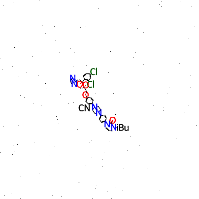 CCC(C)N1CC=CN(c2ccc(N3CCN(c4ccc(OCC5COC(CC6N=CC=N6)(c6ccc(Cl)cc6Cl)O5)cc4C#N)CC3)cc2)C1=O